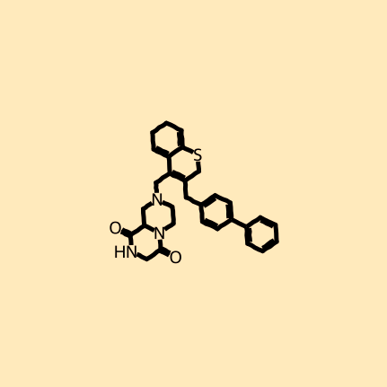 O=C1NCC(=O)N2CCN(CC3=C(Cc4ccc(-c5ccccc5)cc4)CSC4=CCCC=C43)CC12